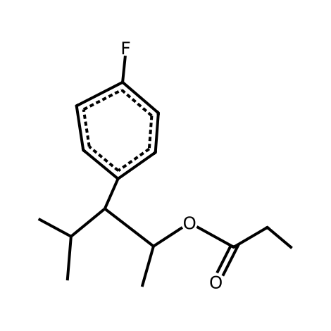 CCC(=O)OC(C)C(c1ccc(F)cc1)C(C)C